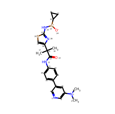 CN(C)c1cncc(-c2ccc(NC(=O)C(C)(C)c3csc(N[S+]([O-])C4CC4)n3)cc2)c1